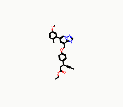 CC#CC(CC(=O)OCC)c1ccc(OCc2cc(-c3cc(OC)ccc3C)cn3ncnc23)cc1